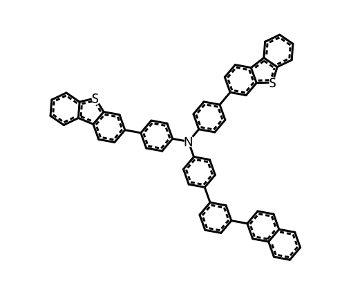 c1cc(-c2ccc(N(c3ccc(-c4ccc5c(c4)sc4ccccc45)cc3)c3ccc(-c4ccc5c(c4)sc4ccccc45)cc3)cc2)cc(-c2ccc3ccccc3c2)c1